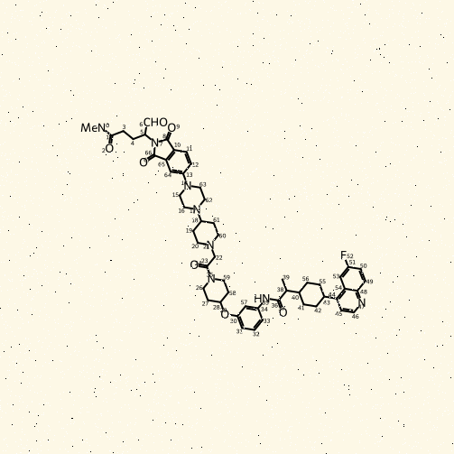 CNC(=O)CCC(C=O)N1C(=O)c2ccc(N3CCN(C4CCN(CC(=O)N5CCC(Oc6cccc(NC(=O)C(C)C7CCC(c8ccnc9ccc(F)cc89)CC7)c6)CC5)CC4)CC3)cc2C1=O